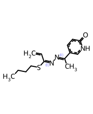 C=C/C(=N\N=C(/C)c1ccc(=O)[nH]c1)SCCCC